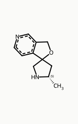 C[C@H]1CC2(CN1)OCc1cnccc12